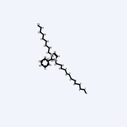 CCCCCCCCCCCCCN1C=CN(CCCCCCCCC)C1c1ccccc1